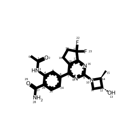 CC(=O)Nc1cc(-c2nc(N3C[C@@H](O)[C@@H]3C)nc3c2CCC3(F)F)ccc1C(N)=O